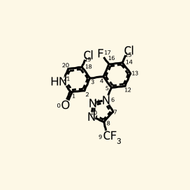 O=c1cc(-c2c(-n3cc(C(F)(F)F)nn3)ccc(Cl)c2F)c(Cl)c[nH]1